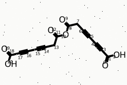 O=C(O)C#CC#CCC(=O)OC(=O)CC#CC#CC(=O)O